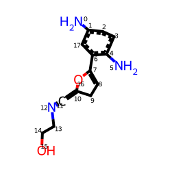 Nc1ccc(N)c(C2=CCC(=C=NCCO)O2)c1